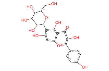 O=c1c(O)c(-c2ccc(O)cc2)oc2cc(O)c(C3OC(CO)C(O)C(O)C3O)c(O)c12